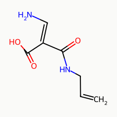 C=CCNC(=O)C(=CN)C(=O)O